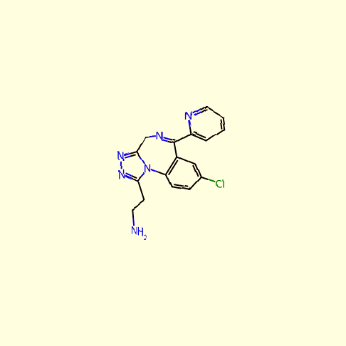 NCCc1nnc2n1-c1ccc(Cl)cc1C(c1ccccn1)=NC2